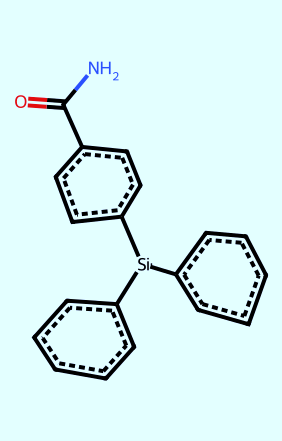 NC(=O)c1ccc([Si](c2ccccc2)c2ccccc2)cc1